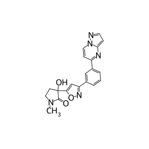 CN1CCC(O)(c2cc(-c3cccc(-c4ccn5nccc5n4)c3)no2)C1=O